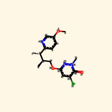 COc1ccc([C@@H](C)[C@H](C)COc2cc(Br)c(=O)n(C)n2)nc1